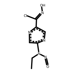 CCN(N=O)c1cnc(C(Cl)=NO)cn1